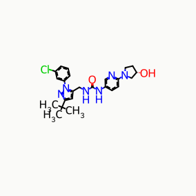 CC(C)(C)c1cc(CNC(=O)Nc2ccc(N3CC[C@H](O)C3)nc2)n(-c2cccc(Cl)c2)n1